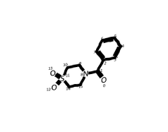 O=C(c1[c]cccc1)N1CCS(=O)(=O)CC1